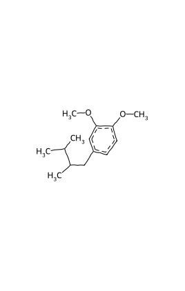 COc1ccc(CC(C)C(C)C)cc1OC